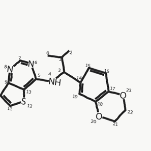 CC(C)C(Nc1ncnc2ccsc12)c1ccc2c(c1)OCCO2